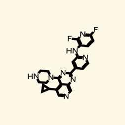 Fc1ccc(Nc2cc(-c3nc(N4CCNCC4)c4c(C5CC5)cncc4n3)ccn2)c(F)n1